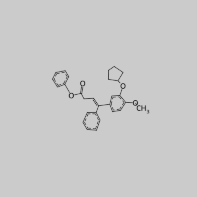 COc1ccc(C(=CCC(=O)Oc2ccccc2)c2ccccc2)cc1OC1CCCC1